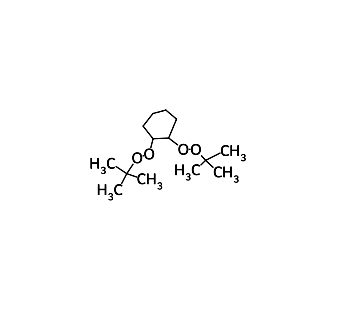 CC(C)(C)OOC1CCCCC1OOC(C)(C)C